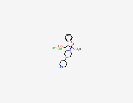 Cl.Cl.O=C(O)C(CCO)(Oc1ccccc1)N1CCN(C2CCNCC2)CC1